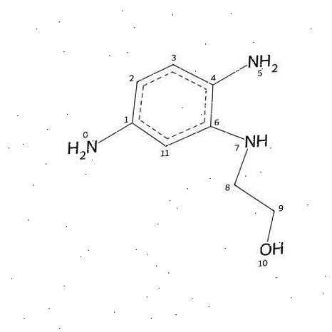 Nc1ccc(N)c(NCCO)c1